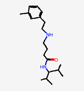 Cc1cccc(CCNCCCC(=O)NC(C(C)C)C(C)C)c1